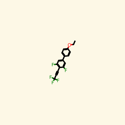 CCOc1ccc(-c2cc(F)c(C#CC(F)(F)F)c(F)c2)cc1